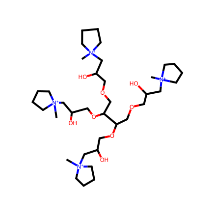 C[N+]1(CC(O)COCC(OCC(O)C[N+]2(C)CCCC2)C(COCC(O)C[N+]2(C)CCCC2)OCC(O)C[N+]2(C)CCCC2)CCCC1